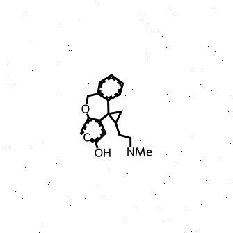 CNCCC1CC12c1ccccc1COc1ccc(O)cc12